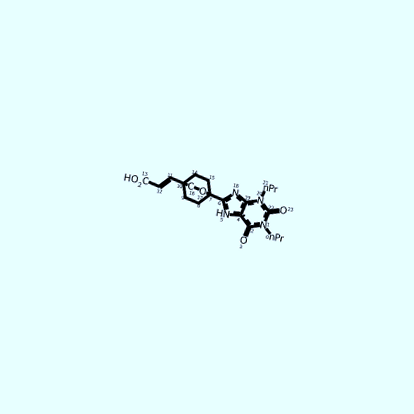 CCCn1c(=O)c2[nH]c(C34CCC(C=CC(=O)O)(CC3)CO4)nc2n(CCC)c1=O